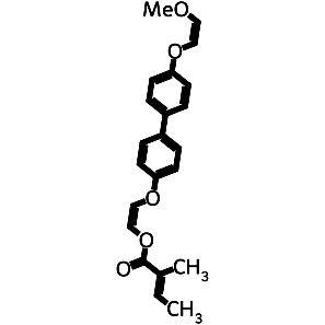 C/C=C(\C)C(=O)O/C=C\Oc1ccc(-c2ccc(O/C=C\OC)cc2)cc1